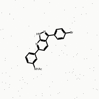 CC(=O)Nc1cccc(-c2ccc3c(-c4ccc(Br)cc4)n[nH]c3n2)c1